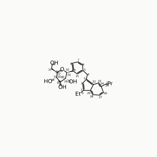 CCc1cc(Cc2cccc([C@@H]3O[C@H](CO)[C@@H](O)[C@H](O)[C@H]3O)c2)c2cc(C(C)C)cccc1-2